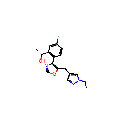 CCn1cc(Cc2ocnc2-c2ccc(F)cc2[C@@H](C)O)cn1